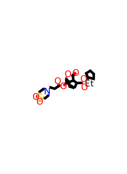 CCC1(OC(=O)C2C3CC4C(OC(=O)C42)C3OC(=O)CCN2CCS(=O)(=O)CC2)CCCC1